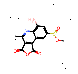 Bc1cc(S(=O)OC)cc2c3c(c(C)nc12)C(=O)OC3=O